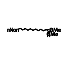 CCCCCCCCCCCCCCCCCCCC[SiH](OC)OC